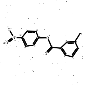 Cc1cccc(C(=O)Oc2ccc([N+](=O)[O-])cc2)c1